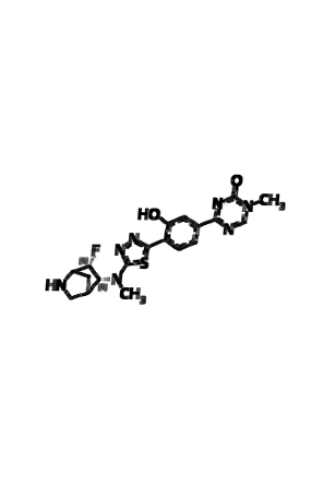 CN(c1nnc(-c2ccc(-c3ncn(C)c(=O)n3)cc2O)s1)[C@@H]1C2CNC(C2)[C@@H]1F